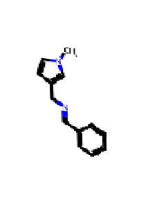 Cn1ccc(CN=Cc2ccccc2)c1